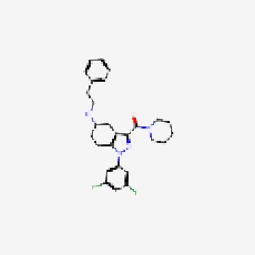 O=C(c1nn(-c2cc(F)cc(F)c2)c2c1CC(NCCc1ccccc1)CC2)N1CCCCC1